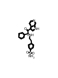 NS(=O)(=O)c1ccc(CCN[C@H](C(=O)c2c[nH]c3cnccc23)c2ccccc2)cc1